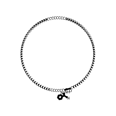 Cn1c(NC2=CC(=O)CCCCCCCCCCCCCCCCCCCCCCCCCCCCCCCCCCCCCCCCCCCCCCCCCCCCCCCCCCCCCCCCCCCCCCCCCCCCCCCCCCCCCCCCCCCCCCCCC2)c(C#N)c2ccccc21